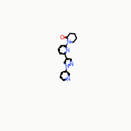 O=C1CCCCN1c1cccc(-c2cnn(-c3cccnc3)c2)n1